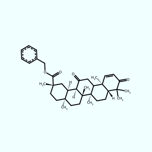 CC1(C)C(=O)C=C[C@]2(C)C3CC(=O)[C@@H]4[C@@H]5C[C@@](C)(C(=O)OCc6ccccc6)CC[C@]5(C)CC[C@@]4(C)[C@]3(C)CC[C@@H]12